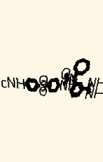 CC(=O)Nc1ccc(S(=O)(=O)N2CCC(NC(=O)N(c3cccc(C(=N)N)c3)C3CCCCCC3)CC2)cc1